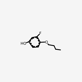 CCCCOc1ccc(O)cc1F